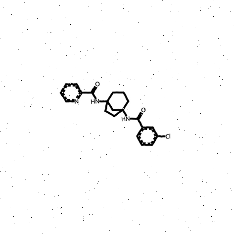 O=C(NC12CCCC(NC(=O)c3ccccn3)(CC1)C2)c1cccc(Cl)c1